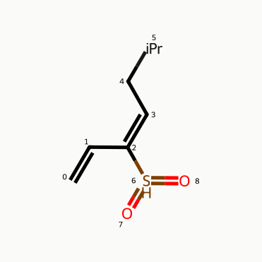 C=C/C(=C\CC(C)C)[SH](=O)=O